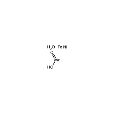 O.[Fe].[Ni].[O]=[Mo][OH]